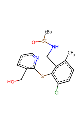 CC(C)(C)[S+]([O-])NCc1c(C(F)(F)F)ccc(Cl)c1Sc1ncccc1CO